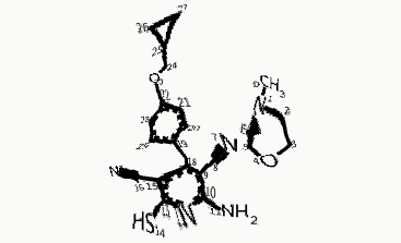 CN1CCOCC1.N#Cc1c(N)nc(S)c(C#N)c1-c1ccc(OCC2CC2)cc1